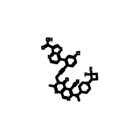 Cc1nc2cnc(N(C)C3CCN(C4CCC4(F)F)CC3)c(C#N)c2c(=O)n1CC#Cc1ccc(Cl)cc1-c1ccnc2c(C(=O)O)csc12